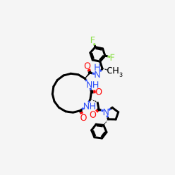 C[C@H](NC(=O)[C@@H]1CCCCCCCCCCC(=O)N[C@@H](CC(=O)N2CCC[C@@H]2c2ccccc2)C(=O)N1)c1ccc(F)cc1F